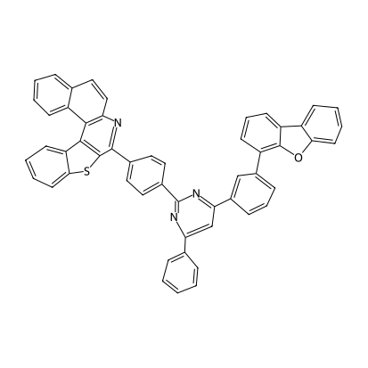 c1ccc(-c2cc(-c3cccc(-c4cccc5c4oc4ccccc45)c3)nc(-c3ccc(-c4nc5ccc6ccccc6c5c5c4sc4ccccc45)cc3)n2)cc1